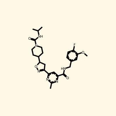 COc1cc(CNC(=O)c2cc(C3=NOC(C4CCN(C(=O)NC(C)C)CC4)C3)nc(C)n2)ccc1F